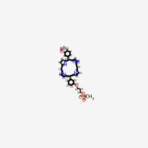 CCCCOc1cccc(-c2c3nc(cc4ccc([nH]4)c(-c4cccc(OCCCOS(C)(=O)=O)c4)c4nc(cc5ccc2[nH]5)C=C4)C=C3)c1